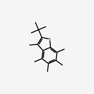 Cc1c(C)c(C)c2c(C)c(C(C)(C)C)sc2c1C